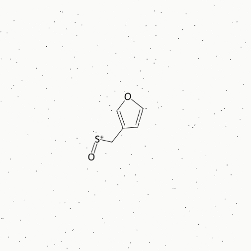 O=[S+]Cc1c[c]oc1